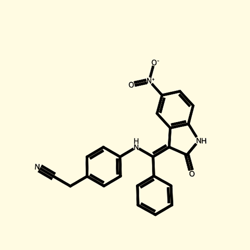 N#CCc1ccc(NC(=C2C(=O)Nc3ccc([N+](=O)[O-])cc32)c2ccccc2)cc1